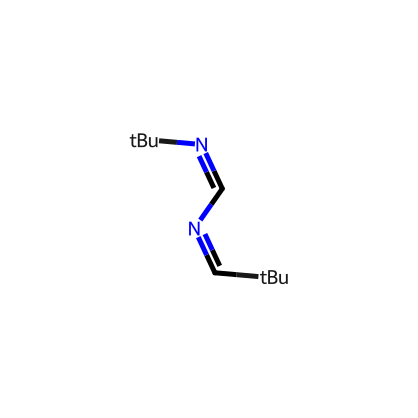 CC(C)(C)/C=N\C=N/C(C)(C)C